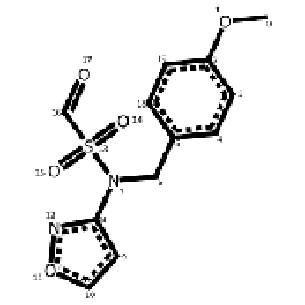 COc1ccc(CN(c2ccon2)S(=O)(=O)C=O)cc1